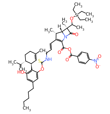 C=C(C)[C@@H]1CCC(C)=C[C@H]1c1c(O)cc(CCCCC)cc1OC(=S)NC/C=C/C1=C(C(=O)OC(=O)c2ccc([N+](=O)[O-])cc2)N2C(=O)[C@](C)(C(C)O[Si](CC)(CC)CC)[C@H]2[C@H]1C